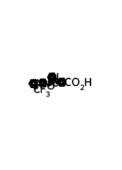 O=C(O)c1ccc(Oc2ncccc2C(=O)N2CCN(c3ccccc3C(F)(F)F)CC2)cc1